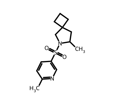 Cc1ccc(S(=O)(=O)N2CC3(CCC3)CC2C)cn1